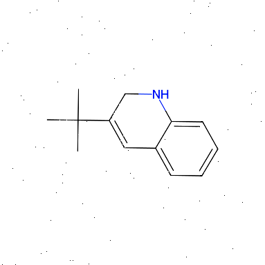 CC(C)(C)C1=Cc2ccccc2NC1